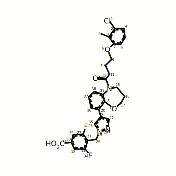 Cc1c(Cl)cccc1OCCCC(=O)N1CCCOc2c(-c3cnn(Cc4c(F)cc(C(=O)O)cc4F)c3)cccc21